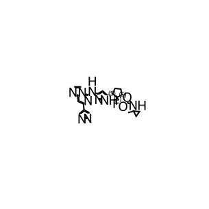 Cn1cc(-c2cc3nccn3c(Nc3cc([C@@H]4CC[C@H](OC(=O)NC5(C)CC5)[C@H]4F)[nH]n3)n2)cn1